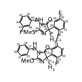 COC1=NC(C)(c2cc(F)ccc2F)C(=O)N1Nc1ccccc1.CSC1=NC(C)(c2cc(F)ccc2F)C(=O)N1Nc1cccc(F)c1